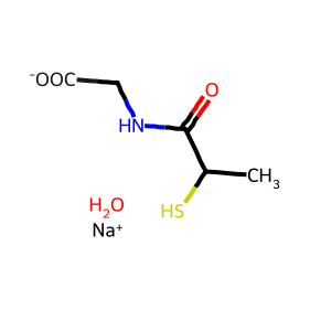 CC(S)C(=O)NCC(=O)[O-].O.[Na+]